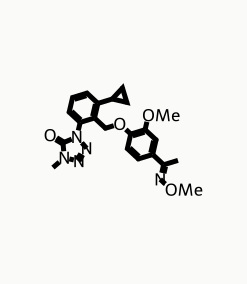 CO/N=C(\C)c1ccc(OCc2c(C3CC3)cccc2-n2nnn(C)c2=O)c(OC)c1